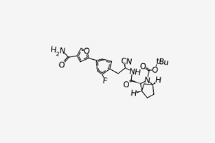 CC(C)(C)OC(=O)N1[C@@H]2CC[C@@H](C2)[C@H]1C(=O)N[C@H](C#N)Cc1ccc(-c2cc(C(N)=O)co2)cc1F